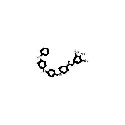 CC(C)(C)c1cc(CNc2ccc(Nc3ccc(Nc4ccc(Nc5ccccc5)cc4)cc3)cc2)cc(C(C)(C)C)c1O